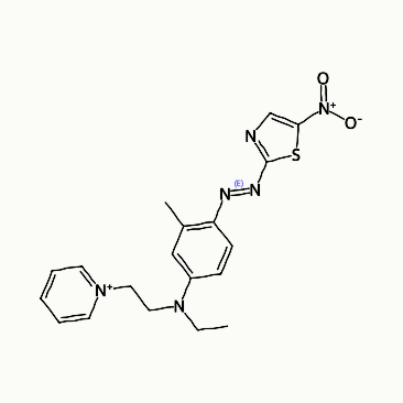 CCN(CC[n+]1ccccc1)c1ccc(/N=N/c2ncc([N+](=O)[O-])s2)c(C)c1